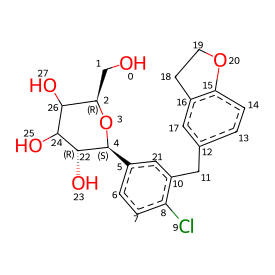 OC[C@H]1O[C@@H](c2ccc(Cl)c(Cc3ccc4c(c3)CCO4)c2)[C@H](O)C(O)C1O